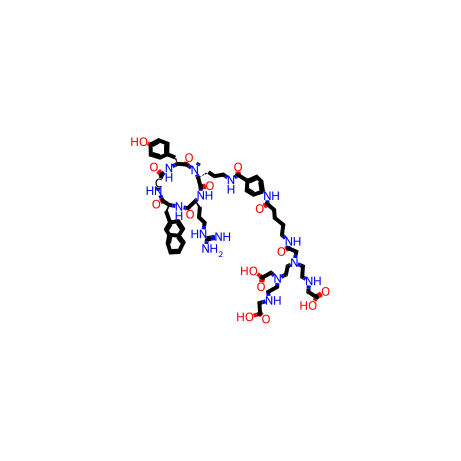 CN1C(=O)[C@@H](Cc2ccc(O)cc2)NC(=O)CNC(=O)[C@H](Cc2ccc3ccccc3c2)NC(=O)[C@H](CCCNC(=N)N)NC(=O)[C@H]1CCCNC(=O)c1ccc(NC(=O)CCCCNC(=O)CN(CCNCC(=O)O)CCN(CCNCC(=O)O)CC(=O)O)cc1